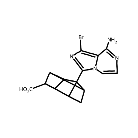 Nc1nccn2c(C34C5C6C3C3C4C5C63C(=O)O)nc(Br)c12